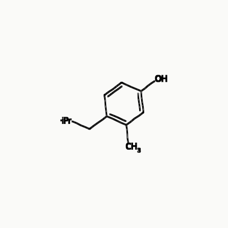 C[C](C)Cc1ccc(O)cc1C